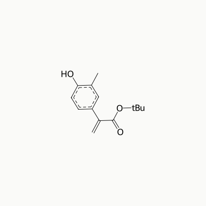 C=C(C(=O)OC(C)(C)C)c1ccc(O)c(C)c1